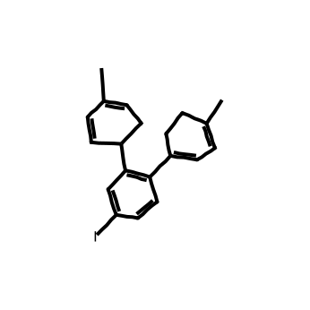 CC1=CCC(c2cc(I)ccc2C2=CC=C(C)CC2)C=C1